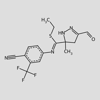 CCS/C(=N\c1ccc(C#N)c(C(F)(F)F)c1)C1(C)CC(C=O)=NN1